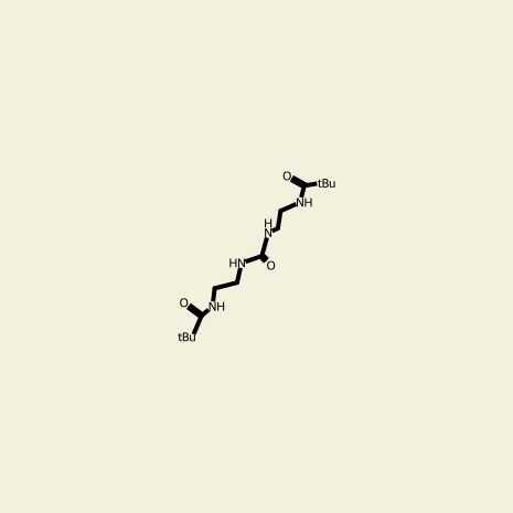 CC(C)(C)C(=O)NCCNC(=O)NCCNC(=O)C(C)(C)C